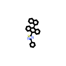 c1ccc(-c2nsc(-c3c4ccccc4c(-c4cccc5ccccc45)c4ccccc34)n2)cc1